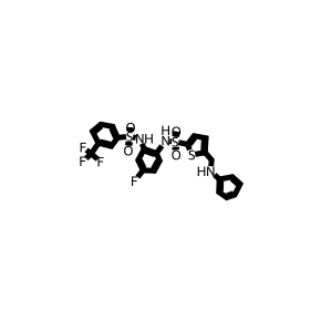 O=S(=O)(Nc1cc(F)ccc1NS(=O)(=O)c1ccc(CNc2ccccc2)s1)c1cccc(C(F)(F)F)c1